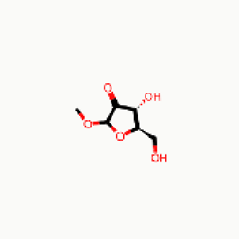 COC1O[C@H](CO)[C@@H](O)C1=O